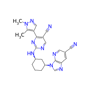 Cc1c(-c2nc(N[C@@H]3CCC[C@H](n4cnc5cc(C#N)cnc54)C3)ncc2C#N)cnn1C